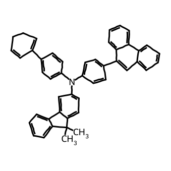 CC1(C)c2ccccc2-c2cc(N(c3ccc(C4=CCCC=C4)cc3)c3ccc(-c4cc5ccccc5c5ccccc45)cc3)ccc21